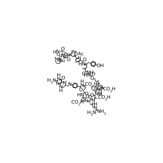 CCCC(=O)OCN(C(=O)[C@@H](NC(=O)[C@H]1CCCCN1C)C(C)CC)[C@H](C[C@@H](OC(C)=O)c1nc(C(=O)N[C@@H](Cc2ccc(O)cc2)C[C@H](C)C(=O)NNC(=O)OCCSSC[C@H](NC(=O)[C@H](CC(=O)O)NC(=O)[C@H](CC(=O)O)NC(=O)[C@H](CCCNC(N)N)NC(=O)[C@H](CC(=O)O)NC(=O)CC[C@H](NC(=O)c2ccc(N(C)CC3CNc4nc(N)[nH]c(=O)c4N3C)cc2)C(=O)O)C(=O)O)cs1)C(C)C